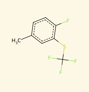 Cc1ccc(F)c(SC(F)(F)F)c1